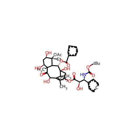 CC[C@@]1(OC(C)=O)C2[C@H](OC(=O)c3ccccc3)[C@]3(O)CC(OC(=O)[C@H](O)[C@@H](NC(=O)OC(C)(C)C)c4ccccc4)C(C)=C([C@@H](O)C(=O)[C@]2(C)[C@@H](O)C[C@H]1O)C3(C)C